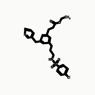 CCOC(=O)CCc1cc(CCCNS(=O)(=O)c2ccc(Cl)cc2)cc(Cc2cccnc2)c1